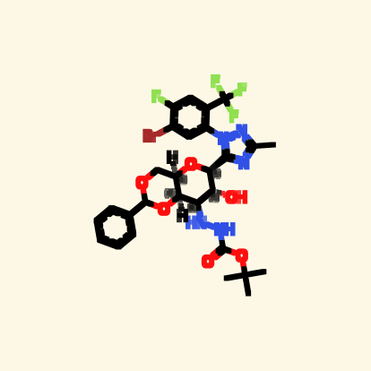 Cc1nc([C@@H]2O[C@@H]3COC(c4ccccc4)O[C@@H]3[C@H](NNC(=O)OC(C)(C)C)[C@H]2O)n(-c2cc(Br)c(F)cc2C(F)(F)F)n1